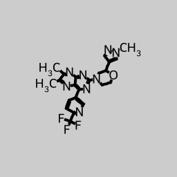 Cc1nc2nc(N3CCOC(c4cnn(C)c4)C3)nc(-c3ccc(C(F)(F)F)nc3)c2nc1C